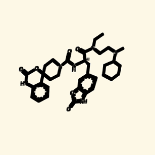 CCN(CCN(C)C1CCCCC1)C(=O)[C@@H](Cc1ccc2[nH]c(=O)oc2c1)NC(=O)N1CCC2(CC1)OC(=O)Nc1ccccc12